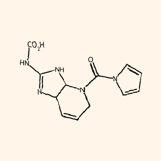 O=C(O)NC1=NC2C=CCN(C(=O)n3cccc3)C2N1